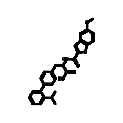 COc1ccc2oc(C(=O)NC(Cc3ccc(-c4ccccc4C(C)C)cc3)C(=O)O)cc2c1